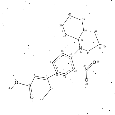 CC/C(=C\C(=O)OC)c1ccc(N(CC(C)C)C2CCCCC2)c([N+](=O)[O-])c1